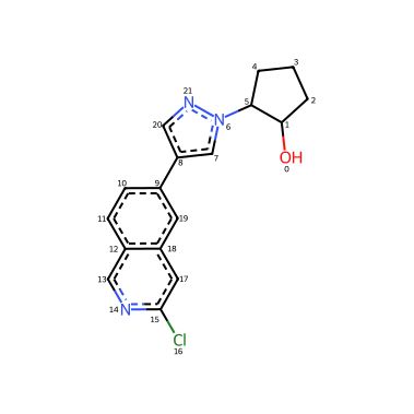 OC1CCCC1n1cc(-c2ccc3cnc(Cl)cc3c2)cn1